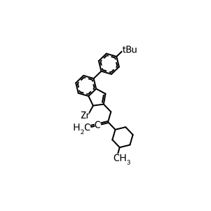 C=C=C(CC1=Cc2c(-c3ccc(C(C)(C)C)cc3)cccc2[CH]1[Zr])C1CCCC(C)C1